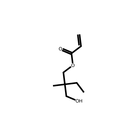 C=CC(=O)OCC(C)(CC)CO